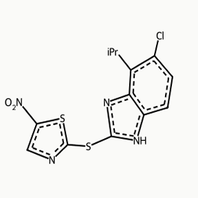 CC(C)c1c(Cl)ccc2[nH]c(Sc3ncc([N+](=O)[O-])s3)nc12